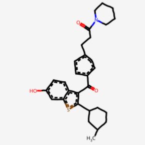 CC1CCCC(c2sc3cc(O)ccc3c2C(=O)c2ccc(CCC(=O)N3CCCCC3)cc2)C1